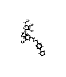 Nc1nc(N/N=C/c2ccc(N3CCCC3)cc2)nc2c1ncn2[C@@H]1O[C@H](CO)[C@H](O)C1O